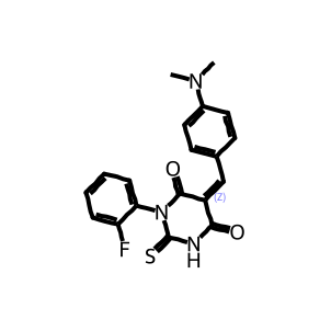 CN(C)c1ccc(/C=C2/C(=O)NC(=S)N(c3ccccc3F)C2=O)cc1